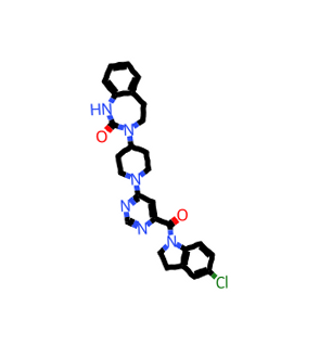 O=C(c1cc(N2CCC(N3CCc4ccccc4NC3=O)CC2)ncn1)N1CCc2cc(Cl)ccc21